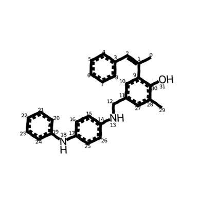 CC(=Cc1ccccc1)c1cc(CNc2ccc(Nc3ccccc3)cc2)cc(C)c1O